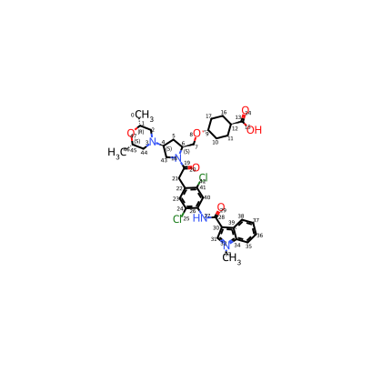 C[C@@H]1CN([C@H]2C[C@@H](CO[C@H]3CC[C@H](C(=O)O)CC3)N(C(=O)Cc3cc(Cl)c(NC(=O)c4cn(C)c5ccccc45)cc3Cl)C2)C[C@H](C)O1